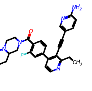 CCc1nccc(-c2ccc(C(=O)N3CCN4CCCCC4C3)c(F)c2)c1C#Cc1ccc(N)nc1